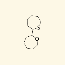 C1CCOC(C2CCCCCS2)CC1